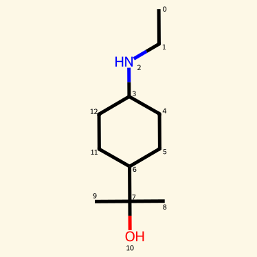 CCNC1CCC(C(C)(C)O)CC1